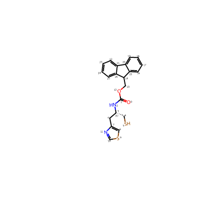 O=C(N[C@H](CS)Cc1cscn1)OCC1c2ccccc2-c2ccccc21